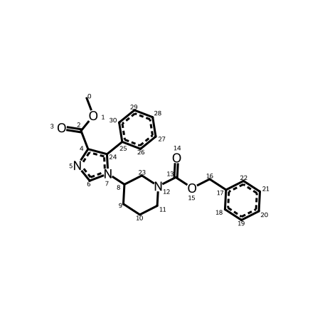 COC(=O)c1ncn(C2CCCN(C(=O)OCc3ccccc3)C2)c1-c1ccccc1